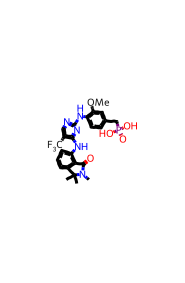 COc1cc(CP(=O)(O)O)ccc1Nc1ncc(C(F)(F)F)c(Nc2cccc3c2C(=O)N(C)C3(C)C)n1